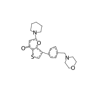 O=c1cc(N2CCCCC2)oc2c(-c3ccc(CN4CCOCC4)cc3)csc12